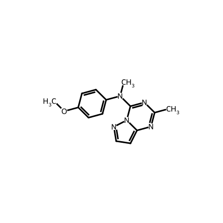 COc1ccc(N(C)c2nc(C)nc3ccnn23)cc1